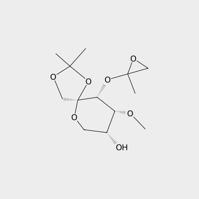 CO[C@@H]1[C@H](O)CO[C@]2(COC(C)(C)O2)[C@@H]1OC1(C)CO1